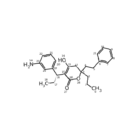 CCCC1(CCc2ccccc2)CC(O)=C([C@H](CC)c2cccc(N)c2)C(=O)O1